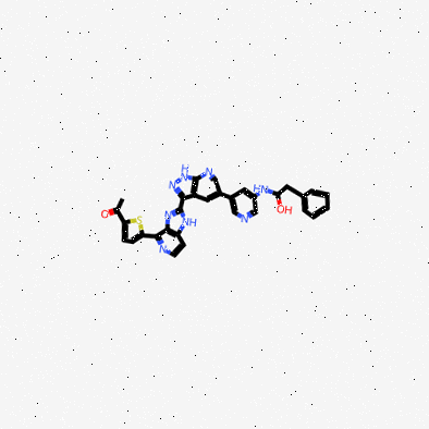 CC(=O)c1ccc(-c2nccc3[nH]c(-c4n[nH]c5ncc(-c6cncc(NC(O)Cc7ccccc7)c6)cc45)nc23)s1